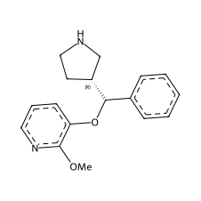 COc1ncccc1OC(c1ccccc1)[C@@H]1CCNC1